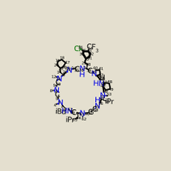 CC[C@H](C)[C@H]1CN(C)CCN(C)CCN(C)[C@@H](CC2CCCCC2)CN(C)CCN[C@@H](CCc2ccc(C(F)(F)F)c(Cl)c2)CN2CCC[C@H]2CNC2(CCCC2)CN(C)[C@@H](C(C)C)CNCCCN(C)[C@@H](CC(C)C)CN1